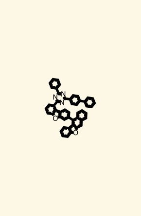 c1ccc(-c2ccc(-c3nc(-c4ccccc4)nc(-c4cccc5oc6cc(-c7c8ccccc8cc8oc9ccccc9c78)ccc6c45)n3)cc2)cc1